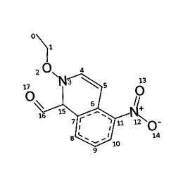 CCON1C=Cc2c(cccc2[N+](=O)[O-])C1C=O